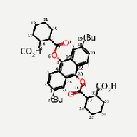 CC(C)(C)c1ccc2c(OC(=O)C3CCCCC3C(=O)O)c3cc(C(C)(C)C)ccc3c(OC(=O)C3CCCCC3C(=O)O)c2c1